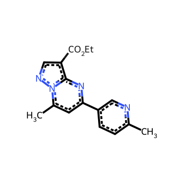 CCOC(=O)c1cnn2c(C)cc(-c3ccc(C)nc3)nc12